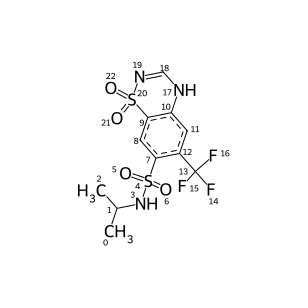 CC(C)NS(=O)(=O)c1cc2c(cc1C(F)(F)F)NC=NS2(=O)=O